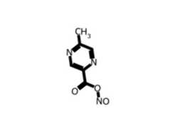 Cc1cnc(C(=O)ON=O)cn1